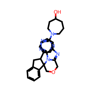 OC1CCCN(c2ncc(C3Cc4ccccc4C34COCc3nc5cccnc5n34)cn2)CC1